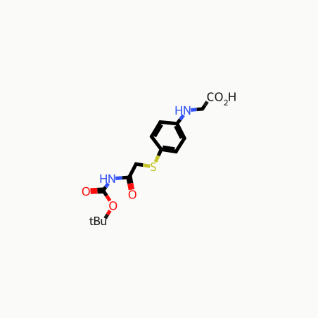 CC(C)(C)OC(=O)NC(=O)CSc1ccc(NCC(=O)O)cc1